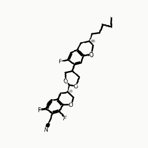 CCCCC[C@H]1COc2cc(C3COC([C@H]4COc5c(cc(F)c(C#N)c5F)C4)OC3)c(F)cc2C1